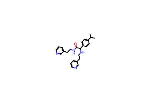 CC(C)c1ccc(C(NCCc2cccnc2)C(=O)NCCc2cccnc2)cc1